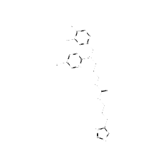 O=C(NCCCc1cnc[nH]1)NCCCN(Cc1ccc(Cl)c(Cl)c1)c1ccc(Br)cn1